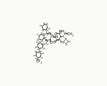 C=CC[C@H](C(N)=O)[C@@H](CC1CCC1)C(=O)NC1N=C(c2ccccc2)c2ccccc2N(Cc2cccc(-c3ccc(C(F)(F)F)cc3)c2)C1=O